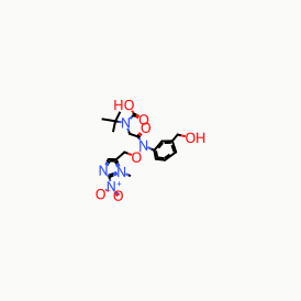 Cn1c(CON(C(=O)CN(C(=O)O)C(C)(C)C)c2cccc(CO)c2)cnc1[N+](=O)[O-]